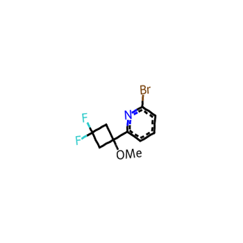 COC1(c2cccc(Br)n2)CC(F)(F)C1